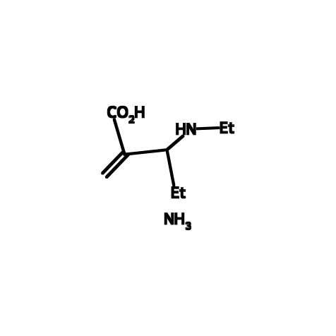 C=C(C(=O)O)C(CC)NCC.N